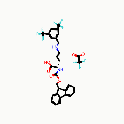 O=C(N[C@@H](CCCNCc1cc(C(F)(F)F)cc(C(F)(F)F)c1)C(=O)O)OCC1c2ccccc2-c2ccccc21.O=C(O)C(F)(F)F